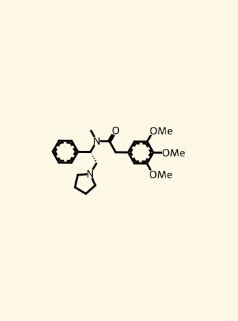 COc1cc(CC(=O)N(C)[C@H](CN2CCCC2)c2ccccc2)cc(OC)c1OC